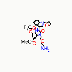 COC(=O)c1ccc2c(c1)N(CCOCCN)C(=O)C(c1cn(CC3CCCO3)c3ccccc13)N2OC(=O)C(F)(F)F